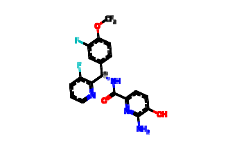 Nc1nc(C(=O)N[C@@H](c2ccc(OC(F)(F)F)c(F)c2)c2ncccc2F)ccc1O